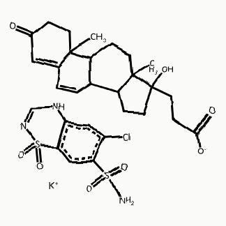 CC12CCC(=O)C=C1C=CC1C2CCC2(C)C1CCC2(O)CCC(=O)[O-].NS(=O)(=O)c1cc2c(cc1Cl)NC=NS2(=O)=O.[K+]